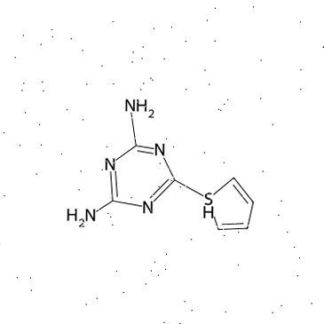 Nc1nc(N)nc([SH]2C=CC=C2)n1